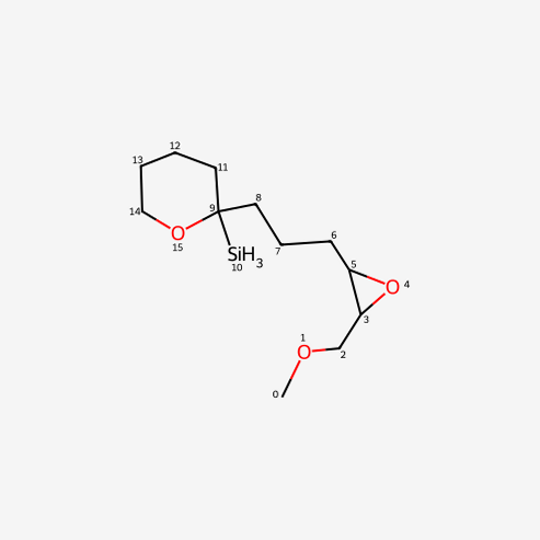 COCC1OC1CCCC1([SiH3])CCCCO1